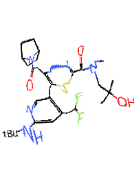 CN(CC(C)(C)O)C(=O)c1nc(C(=O)N2C3CCC2CC3)c(-c2cnc(NC(C)(C)C)cc2C(F)F)s1